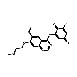 COCCOc1cc2ncnc(NC3=CC(=O)C=C(Br)C3=O)c2cc1OC